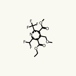 CCOC(=O)c1c(C(F)F)nc(C(F)(F)F)c(C(=O)OC)c1COC